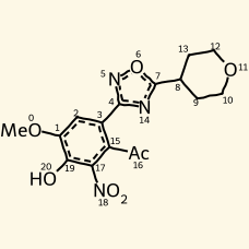 COc1cc(-c2noc(C3CCOCC3)n2)c(C(C)=O)c([N+](=O)[O-])c1O